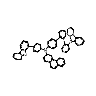 C1=CC2c3ccccc3N(c3ccccc3-c3ccccc3-c3ccc(N(c4ccc(-c5cccc6c5oc5ccccc56)cc4)c4ccc5ccc6ccccc6c5c4)cc3)C2C=C1